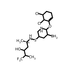 BC1CC(SN[C@H](C)CC(O)C(C)C(F)(F)F)CNC1OC1=CCCC(Cl)C1Cl